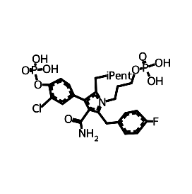 CCCC(C)Cc1c(-c2ccc(OP(=O)(O)O)c(Cl)c2)c(C(N)=O)c(Cc2ccc(F)cc2)n1CCCOP(=O)(O)O